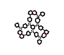 c1ccc(-c2ccc(N(c3ccc(N(c4ccccc4)c4ccccc4)cc3)c3cc(N(c4ccc(-c5ccccc5)cc4)c4ccc(N(c5ccccc5)c5ccccc5)cc4)cc(N(c4ccc(-c5ccccc5)cc4)c4ccc(N(c5ccccc5)c5ccccc5)cc4)c3)cc2)cc1